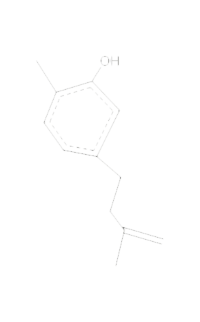 C=C(C)CCc1ccc(C)c(O)c1